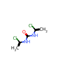 C=C(Cl)NC(=O)NC(=C)Cl